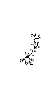 COc1ccccc1OC1CCN(CCCNc2cc(=O)n(C)c(=O)n2C)C1